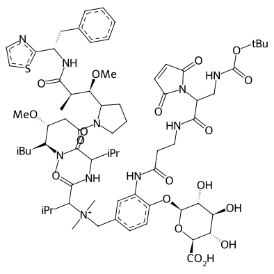 CC[C@H](C)[C@@H]([C@@H](CC(=O)N1CCCC1[C@H](OC)[C@@H](C)C(=O)N[C@@H](Cc1ccccc1)c1nccs1)OC)N(C)C(=O)C(NC(=O)C(C(C)C)[N+](C)(C)Cc1ccc(O[C@@H]2O[C@H](C(=O)O)[C@@H](O)[C@H](O)[C@H]2O)c(NC(=O)CCNC(=O)C(CNC(=O)OC(C)(C)C)N2C(=O)C=CC2=O)c1)C(C)C